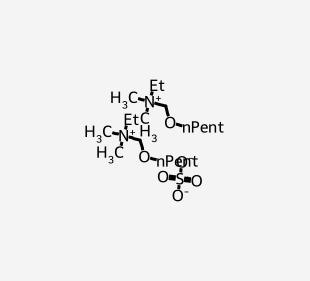 CCCCCOC[N+](C)(C)CC.CCCCCOC[N+](C)(C)CC.O=S(=O)([O-])[O-]